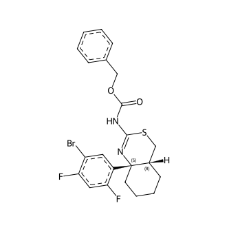 O=C(NC1=N[C@@]2(c3cc(Br)c(F)cc3F)CCCC[C@H]2CS1)OCc1ccccc1